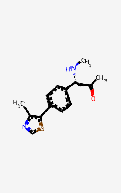 CN[C@H](C(C)=O)c1ccc(-c2scnc2C)cc1